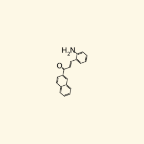 Nc1ccccc1C=CC(=O)c1ccc2ccccc2c1